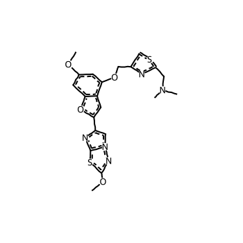 COc1cc(OCc2csc(CN(C)C)n2)c2cc(-c3cn4nc(OC)sc4n3)oc2c1